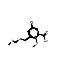 COCOCc1cc(Cl)cc(C(=O)O)c1OC